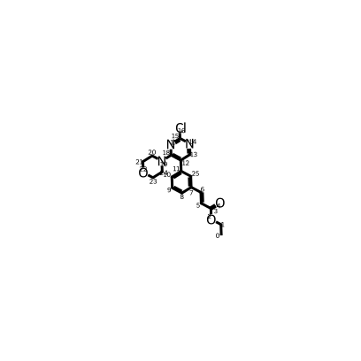 CCOC(=O)/C=C/c1cccc(-c2cnc(Cl)nc2N2CCOCC2)c1